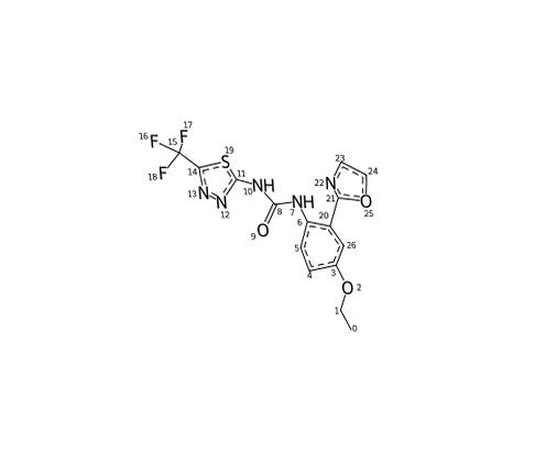 CCOc1ccc(NC(=O)Nc2nnc(C(F)(F)F)s2)c(-c2ncco2)c1